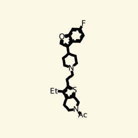 CCc1c(CCN2CCC(c3coc4cc(F)ccc34)CC2)sc2c1CCN(C(C)=O)C2